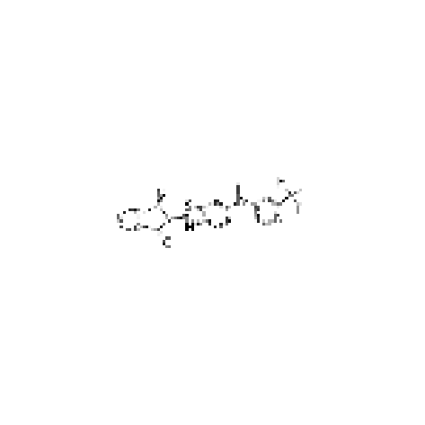 O=C1C2C3C=CC(C3)C2C(=O)N1c1nc2ccc(Nc3ccnc(C(F)(F)F)c3)cc2s1